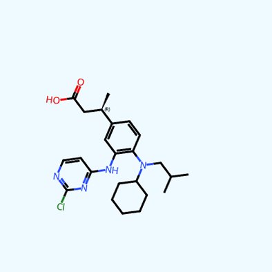 CC(C)CN(c1ccc([C@H](C)CC(=O)O)cc1Nc1ccnc(Cl)n1)C1CCCCC1